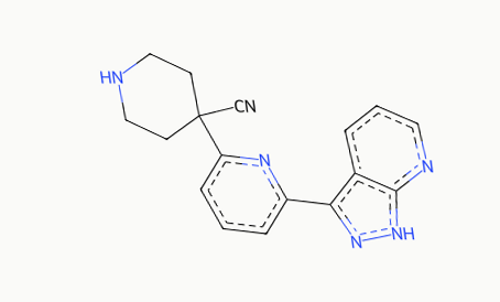 N#CC1(c2cccc(-c3n[nH]c4ncccc34)n2)CCNCC1